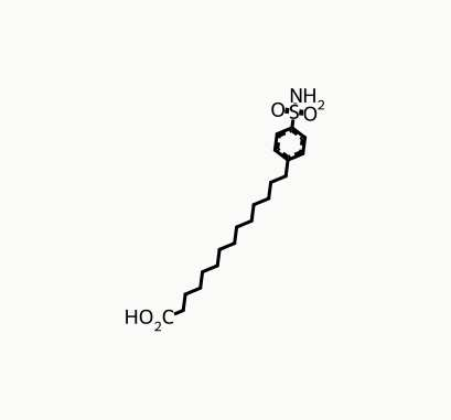 NS(=O)(=O)c1ccc(CCCCCCCCCCCCCC(=O)O)cc1